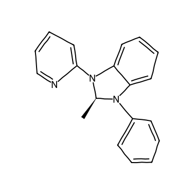 C[C@@H]1N(c2ccccc2)c2ccccc2N1c1ccccn1